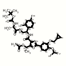 C[C@H](NC(=O)OC(C)(C)C)C(=O)NCC(NC(=O)c1nc(-c2ccc(OC(F)F)c(OCC3CC3)c2)oc1[C@H](C)OC(N)=O)c1ccc(F)cc1F